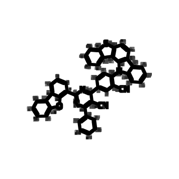 N#Cc1cc(-c2nc(-c3cccc4c3oc3ccccc34)nc(-c3ccccc3)c2C#N)ccc1-n1c2ccccc2c2ccc3sc4ccccc4c3c21